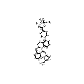 Cc1nnc2nc(N3CCCc4c(N5CCN(C(=O)OC(C)(C)C)CC5)cccc43)c3c(F)cccc3n12